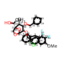 COc1ccc(Cc2cc([C@]34OC[C@](C(C)O)(O3)[C@@H](C)[C@H](OCc3ccccc3)[C@H]4OCc3ccccc3)ccc2Cl)c(F)c1F